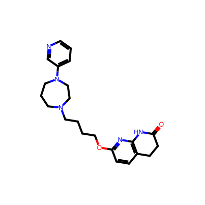 O=C1CCc2ccc(OCCCCN3CCCN(c4cccnc4)CC3)nc2N1